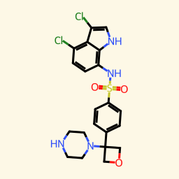 O=S(=O)(Nc1ccc(Cl)c2c(Cl)c[nH]c12)c1ccc(C2(N3CCNCC3)COC2)cc1